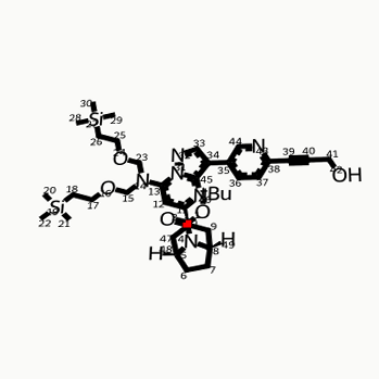 CC(C)(C)OC(=O)N1[C@@H]2CC[C@H]1C[C@H](c1cc(N(COCC[Si](C)(C)C)COCC[Si](C)(C)C)n3ncc(-c4ccc(C#CCO)nc4)c3n1)C2